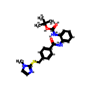 Cn1ccnc1SCc1ccc(C(=O)Nc2ccccc2NC(=O)OC(C)(C)C)cc1